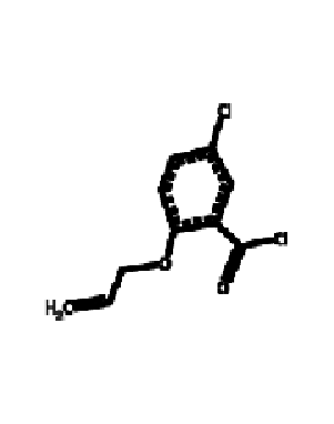 C=CCOc1ccc(Cl)cc1C(=O)Cl